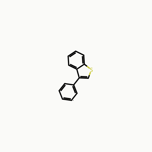 [c]1cccc(-c2csc3ccccc23)c1